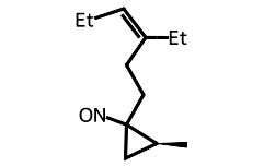 CC/C=C(/CC)CCC1(N=O)C[C@@H]1C